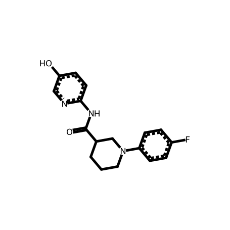 O=C(Nc1ccc(O)cn1)C1CCCN(c2ccc(F)cc2)C1